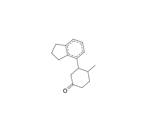 CC1CCC(=O)CC1c1cccc2c1CCC2